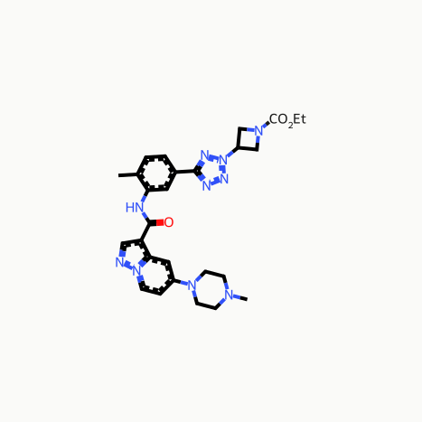 CCOC(=O)N1CC(n2nnc(-c3ccc(C)c(NC(=O)c4cnn5ccc(N6CCN(C)CC6)cc45)c3)n2)C1